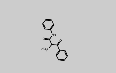 O=C(O)C(C(=O)Nc1ccccc1)C(=O)c1ccccc1